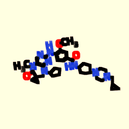 COc1cc(C(=O)N[C@H]2CC[C@H](N3CCN(CC4CC4)CC3)CC2)ccc1Nc1ncc2c(n1)N(C1CCCC1)CC1(CC1)C(=O)N2C